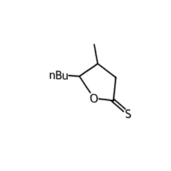 CCCCC1OC(=S)CC1C